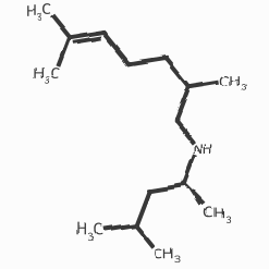 CC(C)=CCCC(C)CN[C@@H](C)CC(C)C